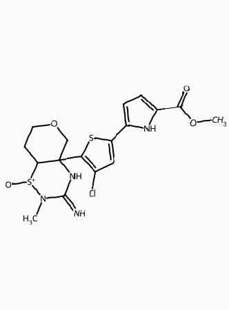 COC(=O)c1ccc(-c2cc(Cl)c(C34COCCC3[S+]([O-])N(C)C(=N)N4)s2)[nH]1